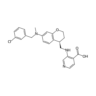 CN(Cc1cccc(Cl)c1)c1ccc2c(c1)OCC[C@H]2CNc1cnccc1C(=O)O